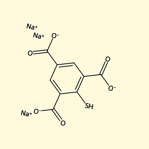 O=C([O-])c1cc(C(=O)[O-])c(S)c(C(=O)[O-])c1.[Na+].[Na+].[Na+]